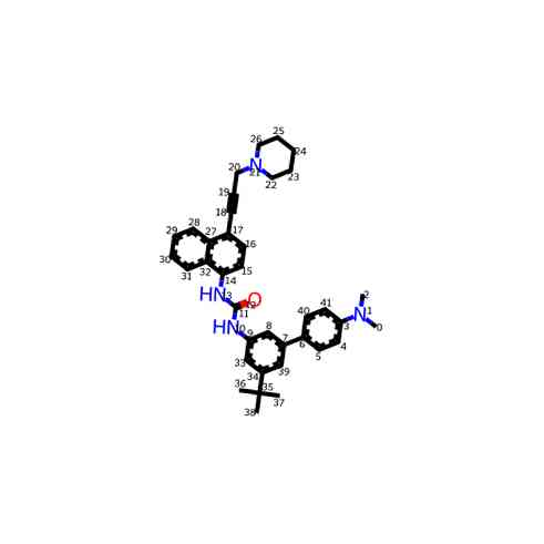 CN(C)c1ccc(-c2cc(NC(=O)Nc3ccc(C#CCN4CCCCC4)c4ccccc34)cc(C(C)(C)C)c2)cc1